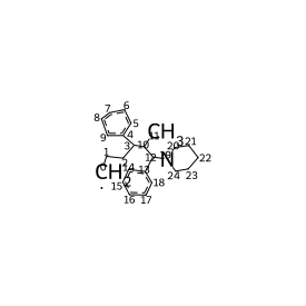 [CH2]CCC(c1ccccc1)C(C)C(c1ccccc1)N1CCCCC1